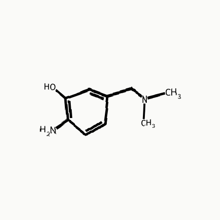 CN(C)Cc1ccc(N)c(O)c1